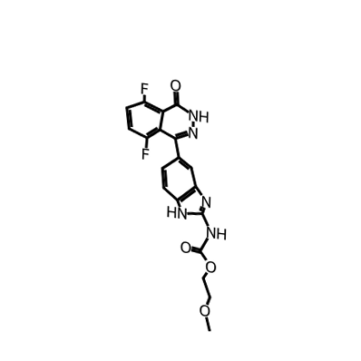 COCCOC(=O)Nc1nc2cc(-c3n[nH]c(=O)c4c(F)ccc(F)c34)ccc2[nH]1